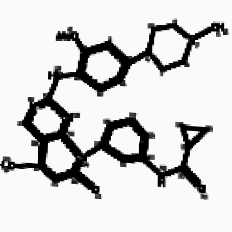 COc1cc(N2CCN(C)CC2)ccc1Nc1ncc2c(C)cc(=O)n(-c3cccc(NC(=O)C4CC4)c3)c2n1